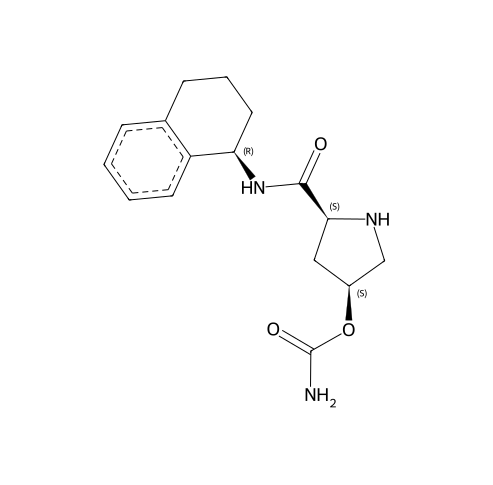 NC(=O)O[C@@H]1CN[C@H](C(=O)N[C@@H]2CCCc3ccccc32)C1